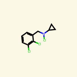 Clc1cccc(CN(Cl)C2CC2)c1Cl